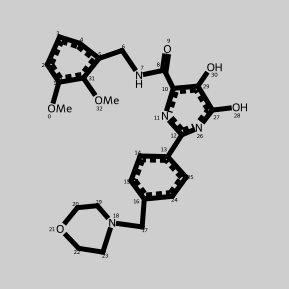 COc1cccc(CNC(=O)c2nc(-c3ccc(CN4CCOCC4)cc3)nc(O)c2O)c1OC